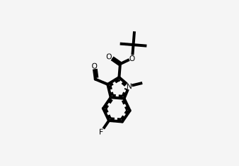 Cn1c(C(=O)OC(C)(C)C)c(C=O)c2cc(F)ccc21